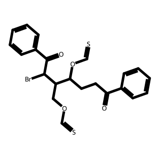 O=C(CCC(OC=S)C(COC=S)C(Br)C(=O)c1ccccc1)c1ccccc1